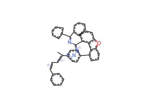 C/C(=C\C=C/c1ccccc1)c1ccc(-c2cccc3oc4cccc(/C(N=C(c5ccccc5)c5ccccc5)=N/N)c4c23)cc1